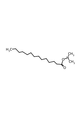 CCCCCCCCCCCCCC(=O)ON(C)C